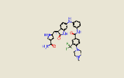 CN1CCN(c2ccc(C(=O)Nc3cccc(Nc4ccc5c(c4)NC(=O)/C5=C\c4cc(C(N)=O)c[nH]4)c3)cc2C(F)(F)F)CC1